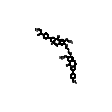 COC(=O)c1ccc(C2=CN3C(=O)c4cc(OC)c(OCCCOc5cc6c(cc5OC)C(=O)N5C=C(c7ccc(N)cc7)CC5C=N6)cc4N=C[C@@H]3C2)cc1